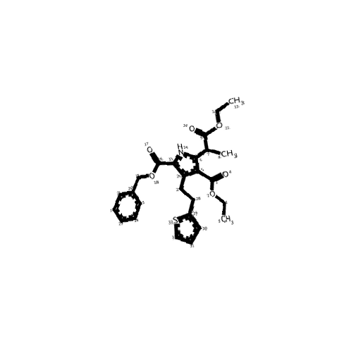 CCOC(=O)c1c(C(C)C(=O)OCC)[nH]c(C(=O)OCc2ccccc2)c1CCc1cccs1